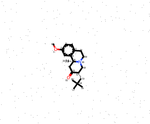 COc1ccc2c(c1)[C@@H]1CC(=O)[C@@H](CC(C)(C)C)CN1CC2